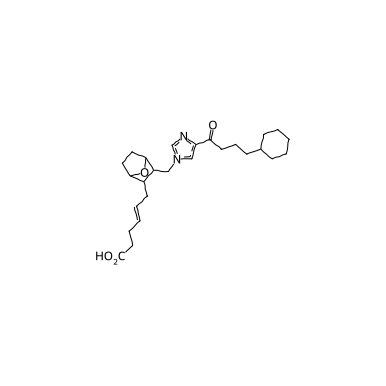 O=C(O)CCC=CCC1C2CCC(O2)C1Cn1cnc(C(=O)CCCC2CCCCC2)c1